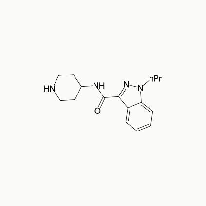 CCCn1nc(C(=O)NC2CCNCC2)c2ccccc21